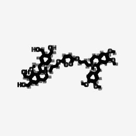 COc1ccc(CC2c3cc(OC)c(OC)cc3CC[N+]2(C)CCCOC(=O)/C=C\C(=O)OCCC[N+]2(C)CCc3cc(CO)c(CO)c(OC)c3C2Cc2ccc(CO)c(CO)c2)cc1OC